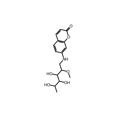 COC(CNc1ccc2ccc(=O)oc2c1)C(O)C(O)C(C)O